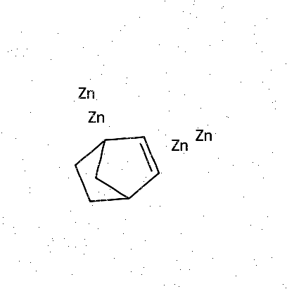 C1=CC2CCC1C2.[Zn].[Zn].[Zn].[Zn]